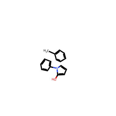 Cc1ccccc1.Oc1cccn1-c1ccccc1